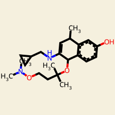 CC1C=C(NCC2CC2)C(OC(C)(C)CCON(C)C)c2ccc(O)cc21